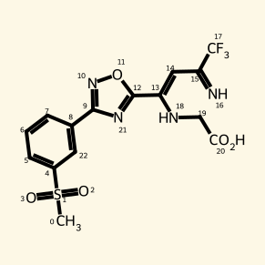 CS(=O)(=O)c1cccc(-c2noc(/C(=C/C(=N)C(F)(F)F)NCC(=O)O)n2)c1